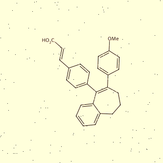 COc1ccc(C2=C(c3ccc(C=CC(=O)O)cc3)c3ccccc3CCC2)cc1